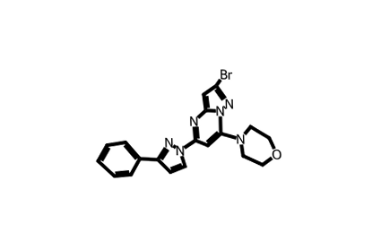 Brc1cc2nc(-n3ccc(-c4ccccc4)n3)cc(N3CCOCC3)n2n1